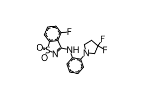 O=S1(=O)N=C(Nc2ccccc2N2CCC(F)(F)C2)c2c(F)cccc21